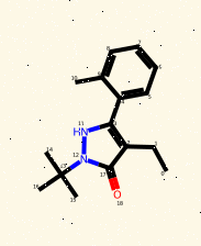 CCc1c(-c2ccccc2C)[nH]n(C(C)(C)C)c1=O